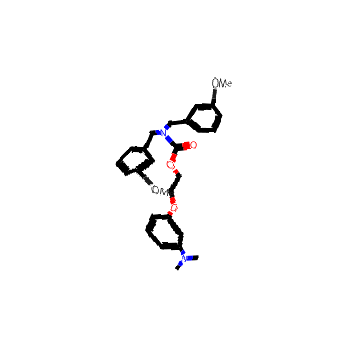 COc1cccc(CN(Cc2cccc(OC)c2)C(=O)OCCOc2cccc(N(C)C)c2)c1